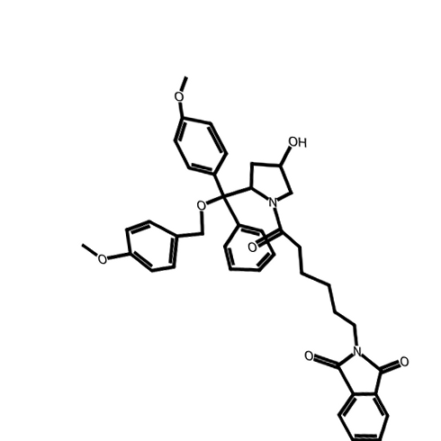 COc1ccc(COC(c2ccccc2)(c2ccc(OC)cc2)C2CC(O)CN2C(=O)CCCCCN2C(=O)c3ccccc3C2=O)cc1